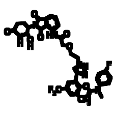 CN(C(=O)Oc1c(-c2cn(CCOCC(=O)Nc3cccc4c3C(=O)N(C3CCC(=O)NC3O)C4=O)nn2)cc(C(F)(F)F)cc1C(F)(F)F)c1ccc(F)cc1